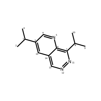 CC(C)c1cnc2c(C(C)C)nncc2c1